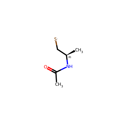 CC(=O)N[C@H](C)C[S]